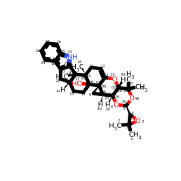 CC1(C)OC1[C@H]1O[C@H]2[C@H]3C[C@@]34C(=CC[C@@]3(C)C4(O)CC[C@H]4Cc5c([nH]c6ccccc56)[C@@]43C)O[C@@H]2C(C)(C)O1